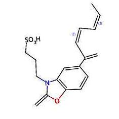 C=C(/C=C\C=C/C)c1ccc2c(c1)N(CCCS(=O)(=O)O)C(=C)O2